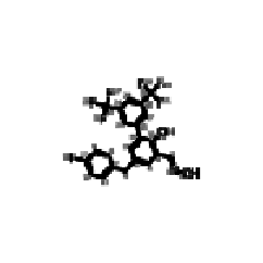 O/N=C/c1cc(Cc2ccc(F)cc2)cc(-c2cc(C(F)(F)F)cc(C(F)(F)F)c2)c1O